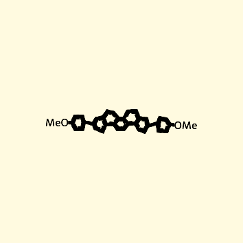 COc1ccc(-c2ccc3c(ccc4c3ccc3c5ccc(-c6ccc(OC)cc6)cc5ccc34)c2)cc1